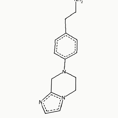 NCCc1ccc(N2CCn3ccnc3C2)cc1